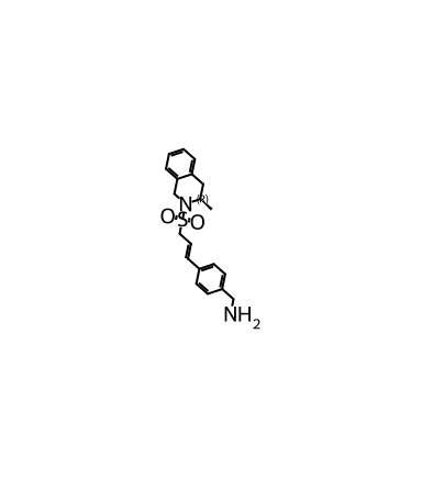 C[C@@H]1Cc2ccccc2CN1S(=O)(=O)CC=Cc1ccc(CN)cc1